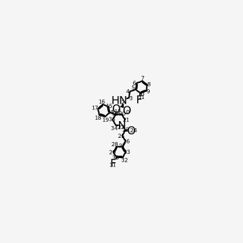 O=C(NCCc1ccccc1F)OC1(c2ccccc2)CCN(C(=O)CCc2ccc(F)cc2)CC1